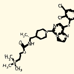 C[C@@H](NC(=O)OCC[Si](C)(C)C)C1CCN(c2ncc(Sc3cccc(Cl)c3Cl)c3nccn23)CC1